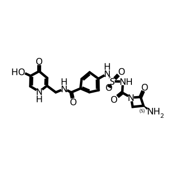 N[C@H]1CN(C(=O)NS(=O)(=O)Nc2ccc(C(=O)NCc3cc(=O)c(O)c[nH]3)cc2)C1=O